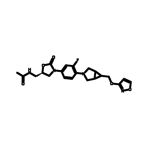 CC(=O)NC[C@H]1CN(c2ccc(N3CC4C(COc5ccon5)C4C3)c(F)c2)C(=O)O1